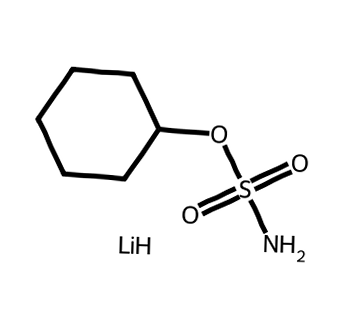 NS(=O)(=O)OC1CCCCC1.[LiH]